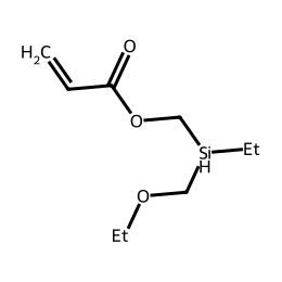 C=CC(=O)OC[SiH](CC)COCC